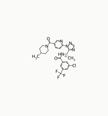 CC1CCN(C(=O)c2ccc(-n3ncnc3[C@H](C)NC(=O)c3cc(Cl)cc(C(F)(F)F)c3)nc2)CC1